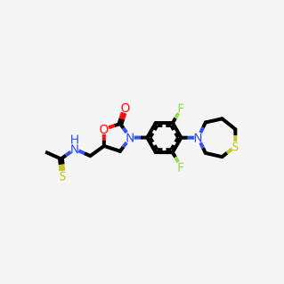 CC(=S)NCC1CN(c2cc(F)c(N3CCCSCC3)c(F)c2)C(=O)O1